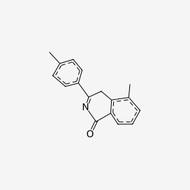 Cc1ccc(C2=NC(=O)c3cccc(C)c3C2)cc1